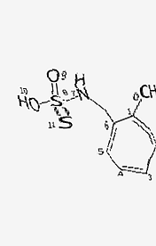 Cc1ccccc1NS(=O)(O)=S